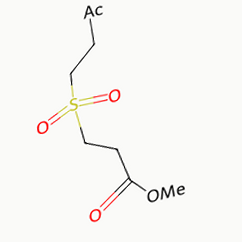 COC(=O)CCS(=O)(=O)CCC(C)=O